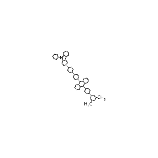 Cc1cc(C)cc(-c2ccc(-c3c4ccccc4c(-c4ccc(-c5ccc(-c6ccc7c(c6)c6ccccc6n7-c6ccccc6)cc5)cc4)c4ccccc34)cc2)c1